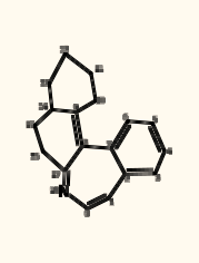 C1=Cc2ccccc2C2=C3CCCCC3CCC2=N1